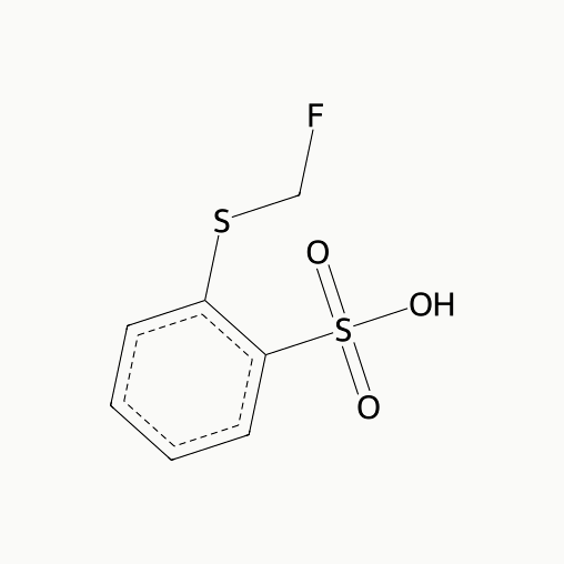 O=S(=O)(O)c1ccccc1SCF